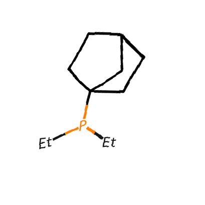 CCP(CC)C12CCC(CC1)C2